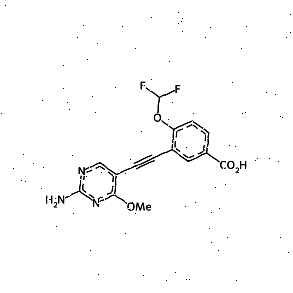 COc1nc(N)ncc1C#Cc1cc(C(=O)O)ccc1OC(F)F